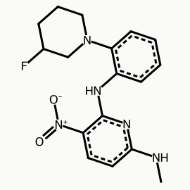 CNc1ccc([N+](=O)[O-])c(Nc2ccccc2N2CCCC(F)C2)n1